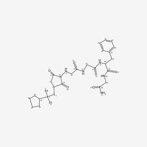 CCC(CC)(SC1CC(=O)N(NCC(=O)NCC(=O)NC(Cc2ccccc2)C(=O)NCC(N)=O)C1=O)C1CCCC1